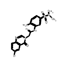 Cc1ccc(S(=O)(=O)N(C)C)cc1NC(=O)Cn1cnc2ccc(Cl)cc2c1=O